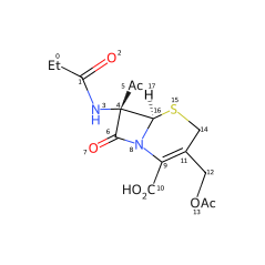 CCC(=O)N[C@@]1(C(C)=O)C(=O)N2C(C(=O)O)=C(COC(C)=O)CS[C@@H]21